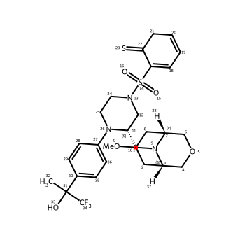 COC1C[C@H]2COC[C@@H](C1)N2C[C@H]1CN(S(=O)(=O)C2=CC=CCC2=S)CCN1c1ccc(C(C)(O)C(F)(F)F)cc1